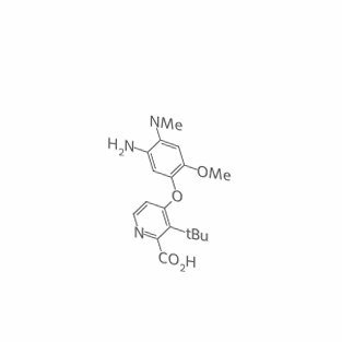 CNc1cc(OC)c(Oc2ccnc(C(=O)O)c2C(C)(C)C)cc1N